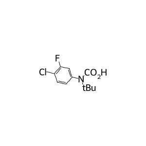 CC(C)(C)N(C(=O)O)c1ccc(Cl)c(F)c1